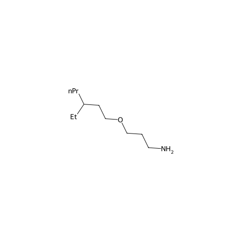 CCCC(CC)CCOCCCN